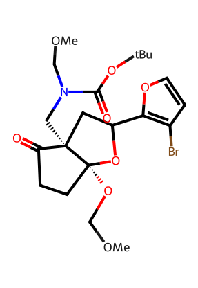 COCO[C@]12CCC(=O)[C@@]1(CN(COC)C(=O)OC(C)(C)C)CC(c1occc1Br)O2